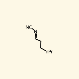 CCCCCC=NC#N